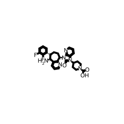 N[C@@H]1c2cccnc2[C@H](n2c(=O)n(C3CCN(C(=O)O)CC3)c3cccnc32)CC[C@H]1c1cccc(F)c1F